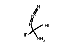 CC(C)C(C)(N)N=[N+]=[N-].I